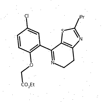 CCOC(=O)COc1ccc(Cl)cc1C1=NCCc2nc(C(C)C)sc21